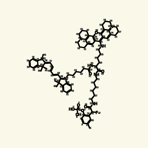 Cc1ccc(OP(=O)(O)O)c(C(F)C(=O)NCCCCCCNC(=O)C(CCCCNC2=c3cc4c5c(c3Oc3c2cc2c6c3CCCN6CCC2)CCC[N+]=5CCC4)NC(=O)CCCCC[N+]2=C(/C=C/C=C/C=C3/N(C)c4ccccc4C3(C)C)C(C)(C)c3ccccc32)c1